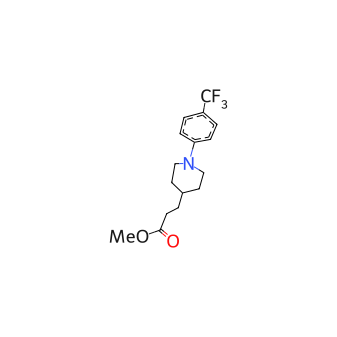 COC(=O)CCC1CCN(c2ccc(C(F)(F)F)cc2)CC1